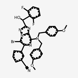 COc1ccc(CN(Cc2ccc(OC)cc2)c2nc(-c3cccc(C#N)c3)c(Br)n3nc(C(O)c4c(F)cccc4F)nc23)cc1